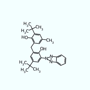 Cc1cc(Cc2cc(C(C)(C)C)cc(-n3n4c5ccccc5n34)c2O)c(O)c(C(C)(C)C)c1